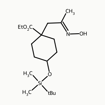 CCOC(=O)C1(CC(C)=NO)CCC(O[Si](C)(C)C(C)(C)C)CC1